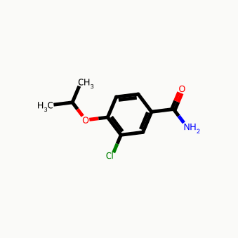 CC(C)Oc1ccc(C(N)=O)cc1Cl